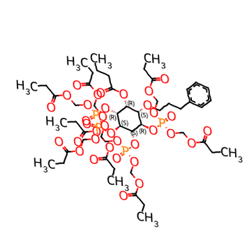 CCCC(=O)O[C@@H]1[C@H](OCCCc2ccccc2)[C@@H](OP(=O)(OCOC(=O)CC)OCOC(=O)CC)[C@H](OP(=O)(OCOC(=O)CC)OCOC(=O)CC)[C@@H](OP(=O)(OCOC(=O)CC)OCOC(=O)CC)[C@@H]1OP(=O)(OCOC(=O)CC)OCOC(=O)CC